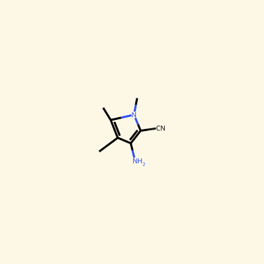 Cc1c(N)c(C#N)n(C)c1C